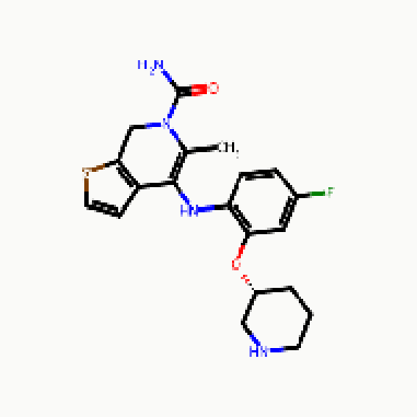 CC1=C(Nc2ccc(F)cc2O[C@@H]2CCCNC2)c2ccsc2CN1C(N)=O